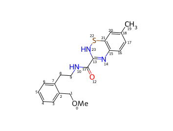 COCc1ccccc1CCNC(=O)C1=Nc2ccc(C)cc2SN1